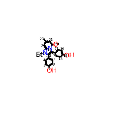 CCn1c(-c2ccc(O)cc2)c(-c2ccc(O)cc2)n2c(=O)cc(C)cc12